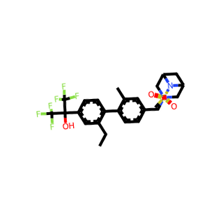 CCc1cc(C(O)(C(F)(F)F)C(F)(F)F)ccc1-c1ccc(CN2CC3CC(C2)N3S(C)(=O)=O)cc1C